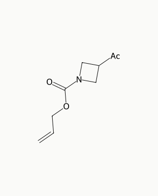 C=CCOC(=O)N1CC(C(C)=O)C1